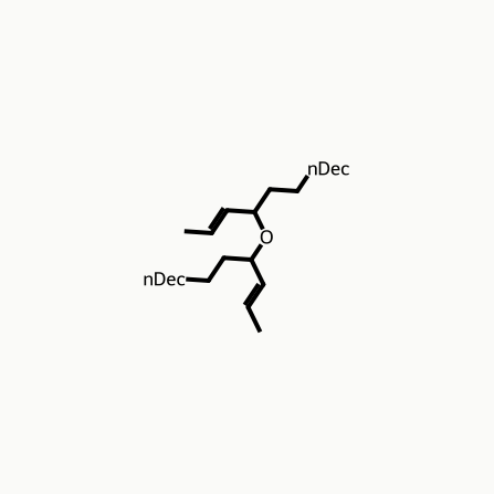 CC=CC(CCCCCCCCCCCC)OC(C=CC)CCCCCCCCCCCC